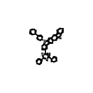 c1ccc(-c2ccc(-n3c4ccc(-c5nc(-c6ccccc6)nc(-c6ccccc6)n5)cc4c4cc5cc6sc7ccccc7c6cc5cc43)cc2)cc1